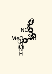 COc1cc(-c2cc3nccc(-c4ccc(OC5CCOCC5)c(C#N)c4)c3s2)ccc1C(=O)N1CCNCC1